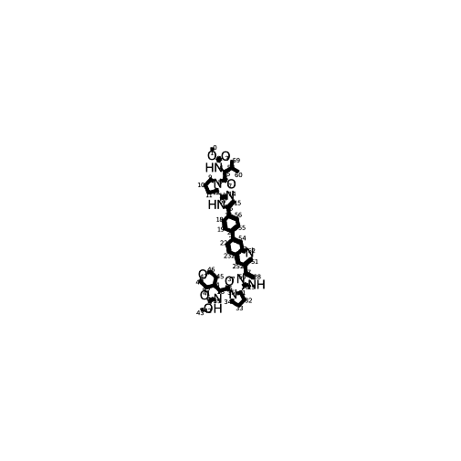 COC(=O)N[C@H](C(=O)N1CCC[C@H]1c1ncc(-c2ccc(-c3ccc4cc(-c5c[nH]c([C@@H]6CCCN6C(=O)[C@@H](NC(=O)OC)C6CCOCC6)n5)cnc4c3)cc2)[nH]1)C(C)C